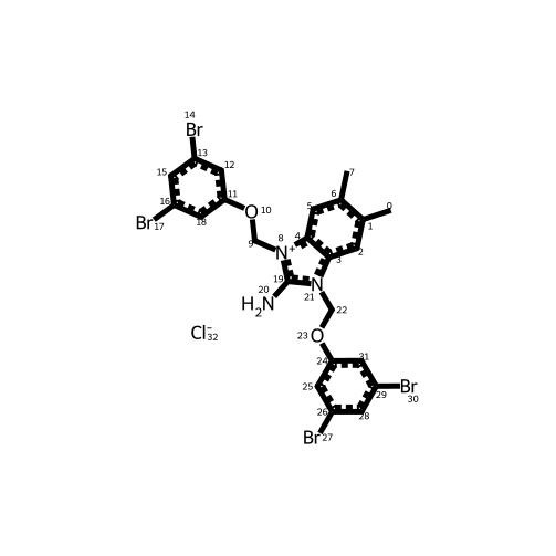 Cc1cc2c(cc1C)[n+](COc1cc(Br)cc(Br)c1)c(N)n2COc1cc(Br)cc(Br)c1.[Cl-]